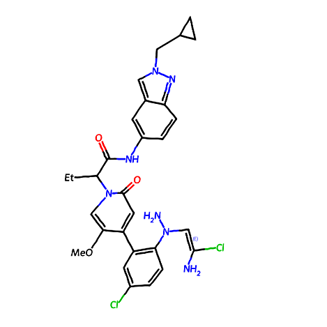 CCC(C(=O)Nc1ccc2nn(CC3CC3)cc2c1)n1cc(OC)c(-c2cc(Cl)ccc2N(N)/C=C(\N)Cl)cc1=O